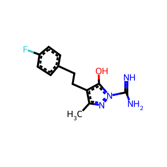 Cc1nn(C(=N)N)c(O)c1CCc1ccc(F)cc1